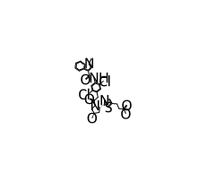 COC(=O)CCc1cnc([C@@H]2C[C@@H](OC)CN2C(=O)Cc2cc(Cl)c(NC(=O)c3cn(C)c4ccccc34)cc2Cl)s1